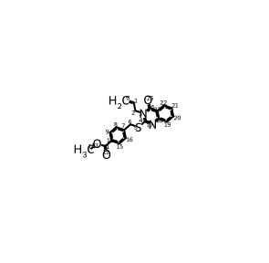 C=CCn1c(SCc2ccc(C(=O)OC)cc2)nc2ccccc2c1=O